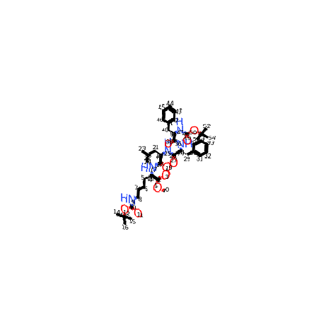 COC(=O)[C@@H](CCCCNC(=O)OC(C)(C)C)NC(=O)[C@@H](CC(C)C)NC(=O)[C@@H](Cc1ccccc1)NC(=O)[C@@H](Cc1ccccc1)NC(=O)OC(C)(C)C